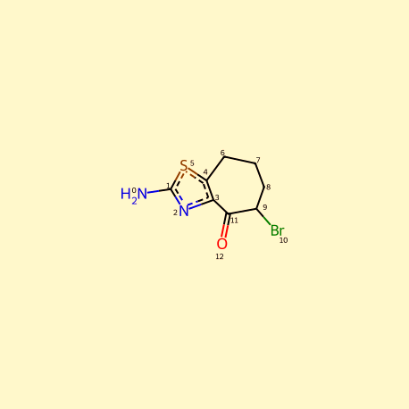 Nc1nc2c(s1)CCCC(Br)C2=O